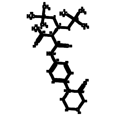 CC(C)(C)CN(CC(C)(C)C)[C@H](C(N)=O)C(=O)Nc1ccc(N2CCOCC2=O)cc1